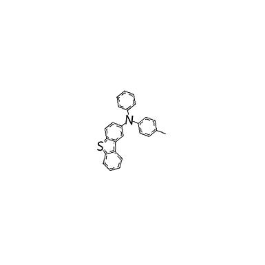 Cc1ccc(N(c2ccccc2)c2ccc3sc4ccccc4c3c2)cc1